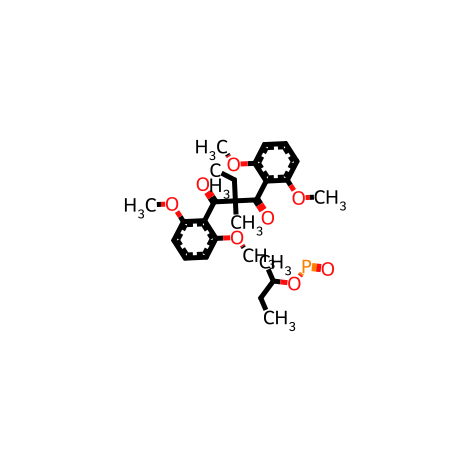 CCC(C)(C(=O)c1c(OC)cccc1OC)C(=O)c1c(OC)cccc1OC.CCC(C)OP=O